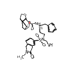 CC(C)CN(CC[C@H](Cc1ccccc1)NC(=O)O[C@@H]1C2COC3OCC1C3C2)S(=O)(=O)c1ccc2c(c1)C(=O)N(C)C2